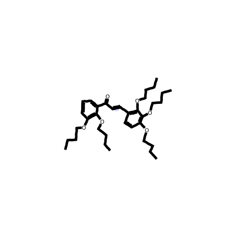 CCCCOc1cccc(C(=O)/C=C/c2ccc(OCCCC)c(OCCCC)c2OCCCC)c1OCCCC